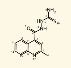 Cc1cc(C(=O)NNC(N)=S)c2ccccc2n1